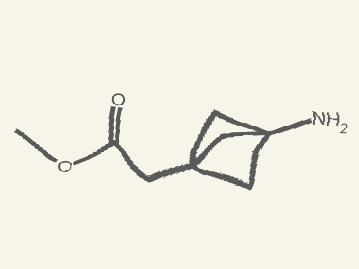 COC(=O)CC12CC(N)(C1)C2